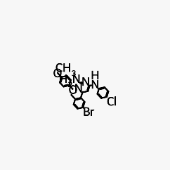 COc1ccc(OCc2ccc(Br)cc2-c2cc(Nc3ccc(Cl)cc3)nc(N)n2)cc1